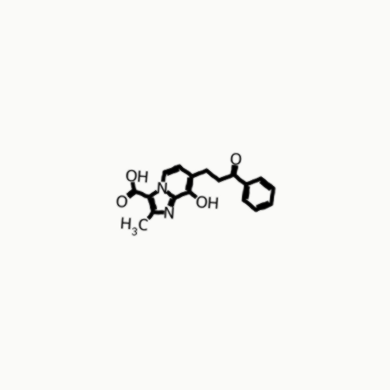 Cc1nc2c(O)c(CCC(=O)c3ccccc3)ccn2c1C(=O)O